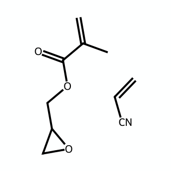 C=C(C)C(=O)OCC1CO1.C=CC#N